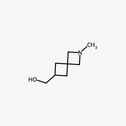 CN1CC2(CC(CO)C2)C1